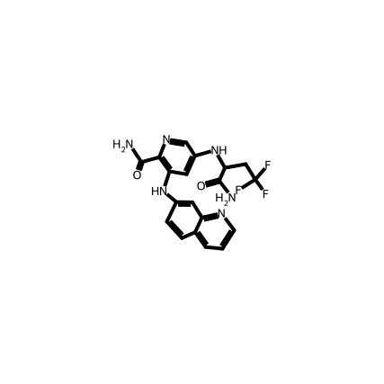 NC(=O)c1ncc(NC(CC(F)(F)F)C(N)=O)cc1Nc1ccc2cccnc2c1